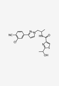 CC(Cn1ccc(-c2ccc(C#N)c(Cl)c2)n1)NC(=O)c1csc(C(C)O)n1